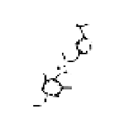 COc1cc(C)c(S(=O)(=O)N(C)Cc2cc(C(=O)O)no2)c(C)c1